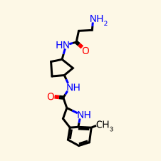 Cc1cccc2c1NC(C(=O)NC1CCC(NC(=O)CCN)C1)C2